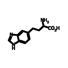 NC(CCc1ccc2[nH]cnc2c1)C(=O)O